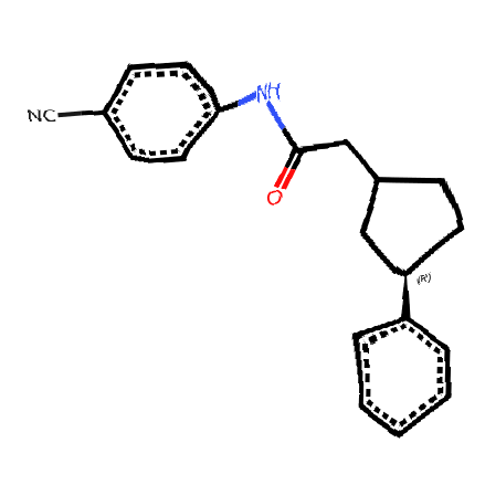 N#Cc1ccc(NC(=O)CC2CC[C@@H](c3ccccc3)C2)cc1